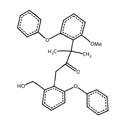 COc1cccc(Oc2ccccc2)c1C(C)(C)C(=O)Cc1c(CO)cccc1Oc1ccccc1